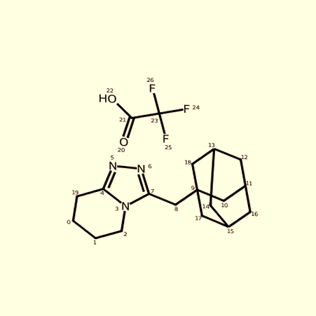 C1CCn2c(nnc2CC23CC4CC(CC(C4)C2)C3)C1.O=C(O)C(F)(F)F